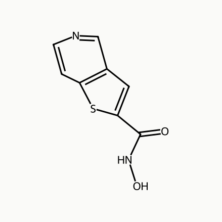 O=C(NO)c1cc2cnccc2s1